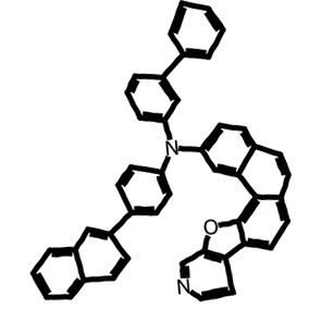 c1ccc(-c2cccc(N(c3ccc(-c4ccc5ccccc5c4)cc3)c3ccc4ccc5ccc6c7ccncc7oc6c5c4c3)c2)cc1